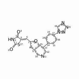 O=C1NC(=O)/C(=C/c2cc3cncc(-c4ccc(-n5cnnn5)cc4)c3o2)S1